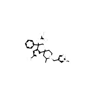 CC1CC2(CCN1Cc1cnn(C)c1)OCC(OC(=O)C(F)(F)F)(c1ccccc1)c1cc(Cl)sc12